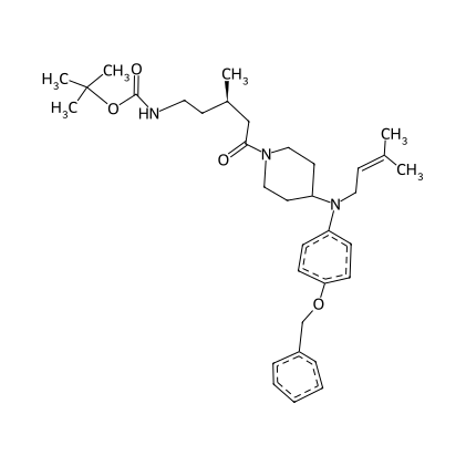 CC(C)=CCN(c1ccc(OCc2ccccc2)cc1)C1CCN(C(=O)C[C@H](C)CCNC(=O)OC(C)(C)C)CC1